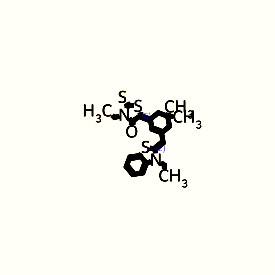 CCN1C(=O)/C(=C2C=C(/C=C3\Sc4ccccc4N3CC)CC(C)(C)C\2)SC1=S